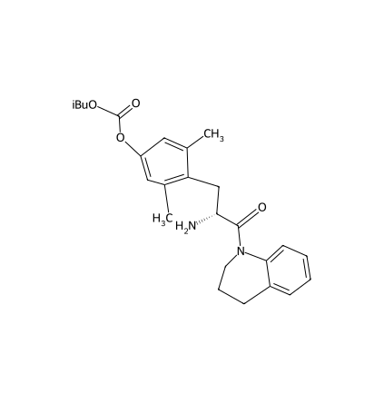 Cc1cc(OC(=O)OCC(C)C)cc(C)c1C[C@@H](N)C(=O)N1CCCc2ccccc21